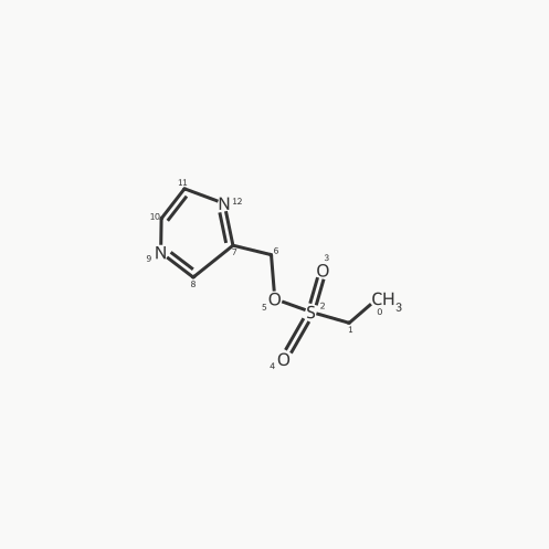 CCS(=O)(=O)OCc1cnccn1